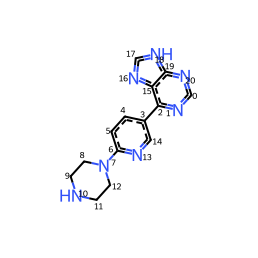 c1nc(-c2ccc(N3CCNCC3)nc2)c2nc[nH]c2n1